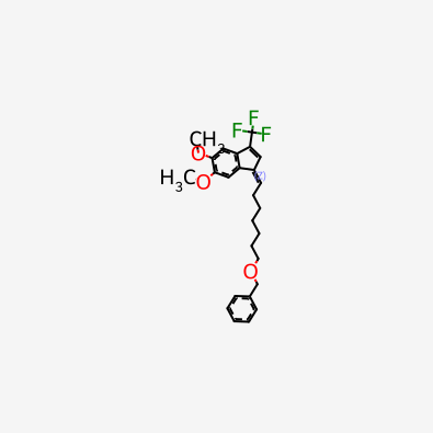 COc1cc2c(cc1OC)/C(=C\CCCCCCOCc1ccccc1)C=C2C(F)(F)F